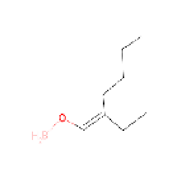 BOC=C(CC)CCCC